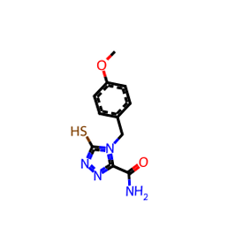 COc1ccc(Cn2c(S)nnc2C(N)=O)cc1